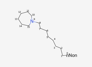 CCCCCCCCCCCCCCCCCN1CCCCCC1